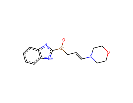 [O-][S+](CC=CN1CCOCC1)c1nc2ccccc2[nH]1